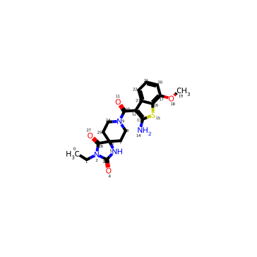 CCN1C(=O)NC2(CCN(C(=O)c3c(N)sc4c(OC)cccc34)CC2)C1=O